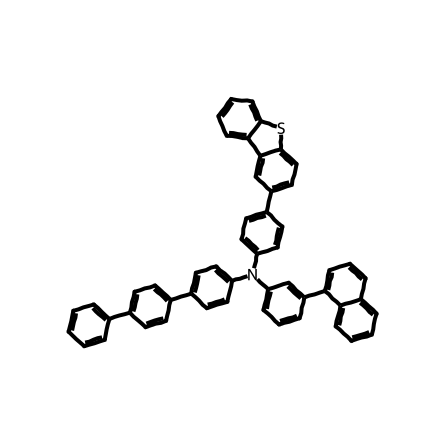 c1ccc(-c2ccc(-c3ccc(N(c4ccc(-c5ccc6sc7ccccc7c6c5)cc4)c4cccc(-c5cccc6ccccc56)c4)cc3)cc2)cc1